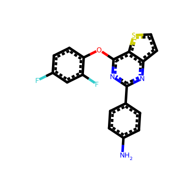 Nc1ccc(-c2nc(Oc3ccc(F)cc3F)c3sccc3n2)cc1